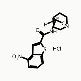 Cl.O=C(N[C@H]1CN2CCC1CC2)c1cc2c([N+](=O)[O-])cccc2s1